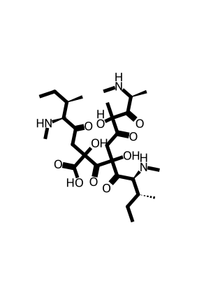 CC[C@@H](C)[C@H](NC)C(=O)CC(O)(C(=O)O)C(=O)C(O)(CC(=O)C(C)(O)C(=O)[C@H](C)NC)C(=O)[C@@H](NC)[C@H](C)CC